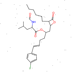 CCCCCCC1C(=O)OC1CC(CC/C=C/c1ccc(F)cc1)OC(=O)C(CC(C)C)NC=O